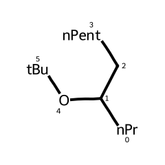 [CH2]CCC(CCCCCC)OC(C)(C)C